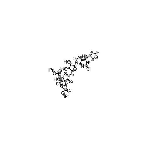 CC(C)OC(=O)OCC(COC(=O)OC(C)C)(C(=O)N(C)C[C@H]1O[C@@H](n2cnc3c(N[C@H]4CCOC4)nc(Cl)nc32)[C@H](O)[C@@H]1O)P(=O)(O)O